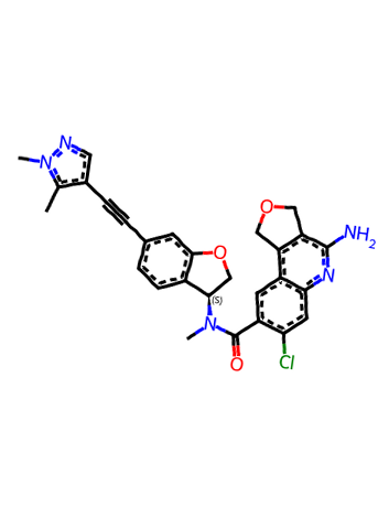 Cc1c(C#Cc2ccc3c(c2)OC[C@H]3N(C)C(=O)c2cc3c4c(c(N)nc3cc2Cl)COC4)cnn1C